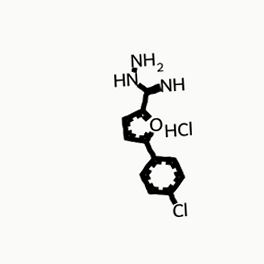 Cl.N=C(NN)c1ccc(-c2ccc(Cl)cc2)o1